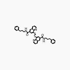 O=C(NCCCc1ccccc1)c1cc(SSc2cc(C(=O)NCCCc3ccccc3)cc3cccnc23)c2ncccc2c1